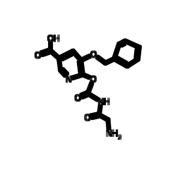 NCC(=O)NC(=O)Oc1ncc(C(=O)O)cc1OCc1ccccc1